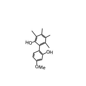 COc1ccc(-c2c(C)c(C)c(C)c(C)c2O)c(O)c1